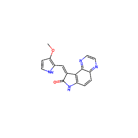 COc1cc[nH]c1/C=C1\C(=O)Nc2ccc3nccnc3c21